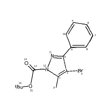 Cc1c(Br)c(-c2ccccc2)nn1C(=O)OC(C)(C)C